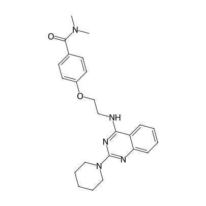 CN(C)C(=O)c1ccc(OCCNc2nc(N3CCCCC3)nc3ccccc23)cc1